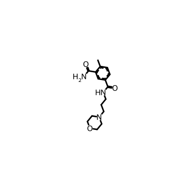 Cc1ccc(C(=O)NCCCN2CCOCC2)cc1C(N)=O